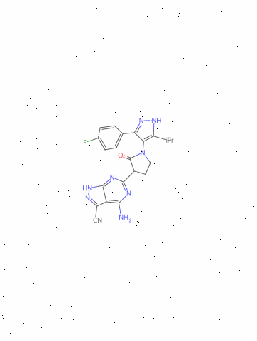 CC(C)c1[nH]nc(-c2ccc(F)cc2)c1N1CCC(c2nc(N)c3c(C#N)n[nH]c3n2)C1=O